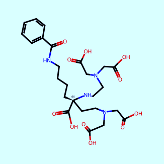 O=C(O)CN(CCN[C@](CCCCNC(=O)c1ccccc1)(CCN(CC(=O)O)CC(=O)O)C(=O)O)CC(=O)O